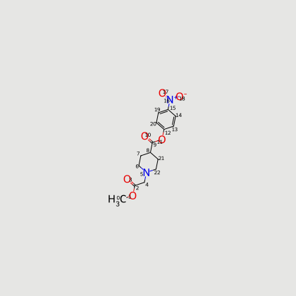 COC(=O)CN1CCC(C(=O)Oc2ccc([N+](=O)[O-])cc2)CC1